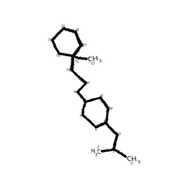 CC(C)CC1CCC(CCCC2(C)CCCCC2)CC1